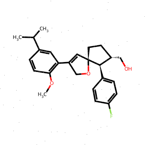 COc1ccc(C(C)C)cc1C1=C[C@@]2(CC[C@H](CO)[C@H]2c2ccc(F)cc2)OC1